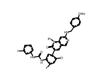 COc1ccc(CNc2cc3c(cn2)cc(-c2cc(NC(=O)Nc4cccc(F)c4)c(F)cc2Cl)c(=O)n3C(C)C)cc1